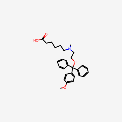 COc1ccc(C(OCCN(C)CCCCCC(=O)O)(c2ccccc2)c2ccccc2)cc1